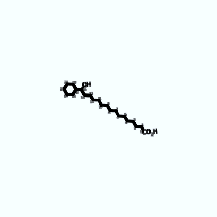 O=C(O)CCCCCCCCCCCCC=C[C@H](O)C1CCCCC1